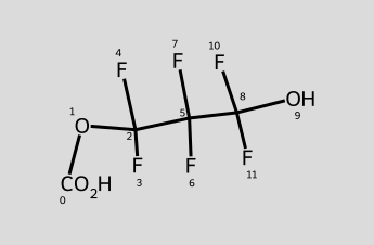 O=C(O)OC(F)(F)C(F)(F)C(O)(F)F